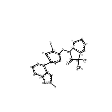 Cn1cc2c(-c3ccc(CN4C(=O)C(O)(C(F)(F)F)c5ccccc54)c(F)c3)cccc2n1